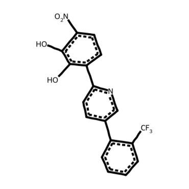 O=[N+]([O-])c1ccc(-c2ccc(-c3ccccc3C(F)(F)F)cn2)c(O)c1O